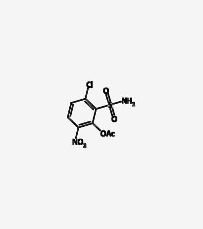 CC(=O)Oc1c([N+](=O)[O-])ccc(Cl)c1S(N)(=O)=O